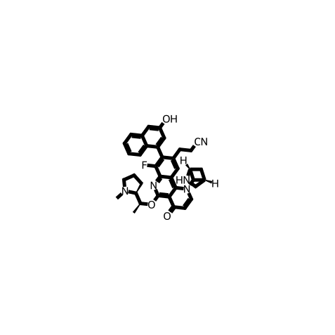 C[C@H](Oc1nc2c(F)c(-c3cc(O)cc4ccccc34)c(CCC#N)cc2c2c1c(=O)ccn2C1[C@H]2CN[C@@H]1C2)[C@@H]1CCCN1C